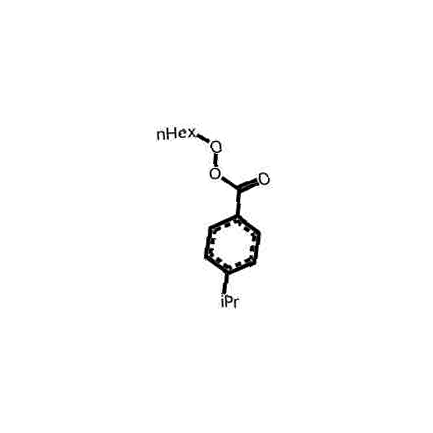 [CH2]CCCCCOOC(=O)c1ccc(C(C)C)cc1